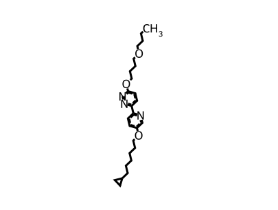 CCCCOCCCCOc1ccc(-c2ccc(OCCCCCCC3CC3)cn2)nn1